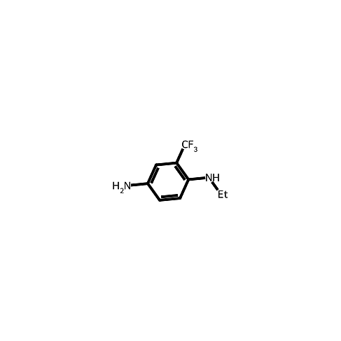 CCNc1ccc(N)cc1C(F)(F)F